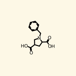 O=C(O)C1CC(C(=O)O)N(Cc2ccccc2)C1